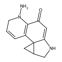 NN1CC=CC2=C1C(=O)C=C1NCC3CC123